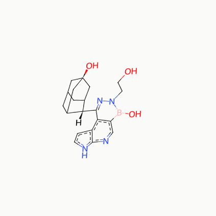 OCCN1N=C([C@H]2C3CC4CC2C[C@](O)(C4)C3)c2c(cnc3[nH]ccc23)B1O